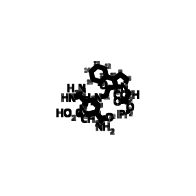 CC(=O)O.CC(C)OC(=O)CN1CCC(C2CCCCC2)[C@]1(C(=O)O)C(=O)CN.N=C(N)c1ccc(C(N)=O)cn1